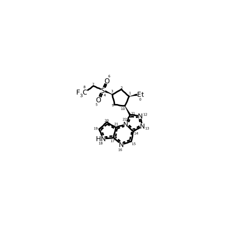 CC[C@@H]1C[C@H](S(=O)(=O)CC(F)(F)F)C[C@@H]1c1nnc2cnc3[nH]ccc3n12